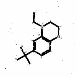 CCN1CCOc2ccc(C(C)(C)C)cc21